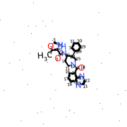 Cc1ocnc1C(=O)N[C@@H]1CCN(C(=O)c2cccc3nccnc23)C[C@@H]1c1ccccc1